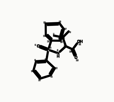 CC(C)C(NP(=O)(c1ccccc1)c1ccccc1)C(=O)O